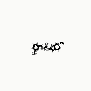 CCN1CCc2cc(NC(=O)NCc3cccc(Cl)c3)sc2C1